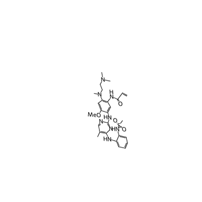 C=CC(=O)Nc1cc(Nc2ncc(C)c(Nc3ccccc3NS(C)(=O)=O)n2)c(OC)cc1N(C)CCN(C)C